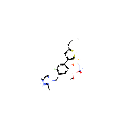 Cc1nccn1Cc1ccc(-c2cc(CC(C)C)sc2S(=O)(=O)NC(=O)OC(=O)C(F)(F)F)cc1F